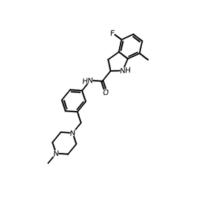 Cc1ccc(F)c2c1NC(C(=O)Nc1cccc(CN3CCN(C)CC3)c1)C2